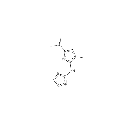 Cc1cn(C(C)C)nc1Nc1nccs1